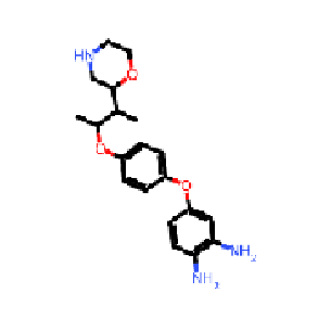 CC(Oc1ccc(Oc2ccc(N)c(N)c2)cc1)C(C)C1CNCCO1